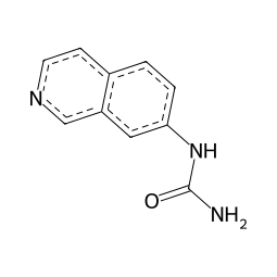 NC(=O)Nc1ccc2ccncc2c1